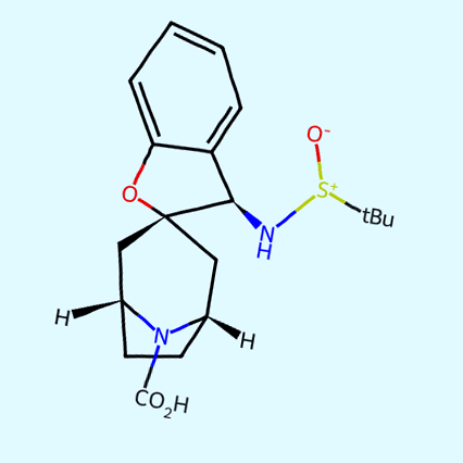 CC(C)(C)[S+]([O-])N[C@@H]1c2ccccc2O[C@]12C[C@H]1CC[C@@H](C2)N1C(=O)O